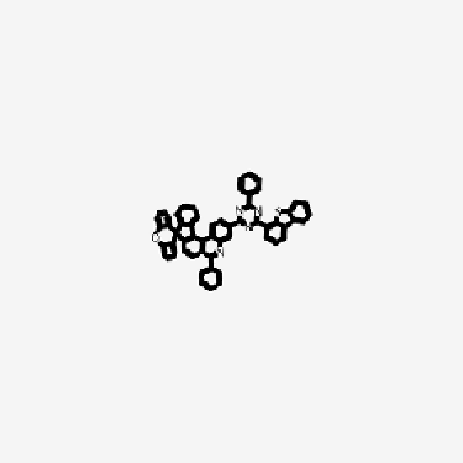 c1ccc(-c2nc(-c3ccc4c(c3)nc(-c3ccccc3)c3ccc5c(c34)-c3ccccc3C53c4ccccc4Oc4ccccc43)nc(-c3cccc4c3sc3ccccc34)n2)cc1